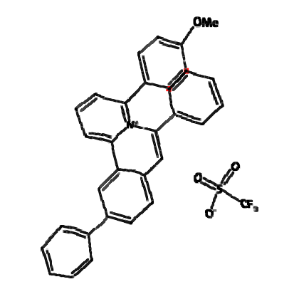 COc1ccc(-c2cccc3c4cc(-c5ccccc5)ccc4cc(-c4ccccc4)[n+]23)cc1.O=S(=O)([O-])C(F)(F)F